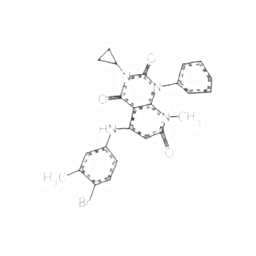 Cc1cc(Nc2cc(=O)n(C)c3c2c(=O)n(C2CC2)c(=O)n3-c2ccccc2)ccc1Br